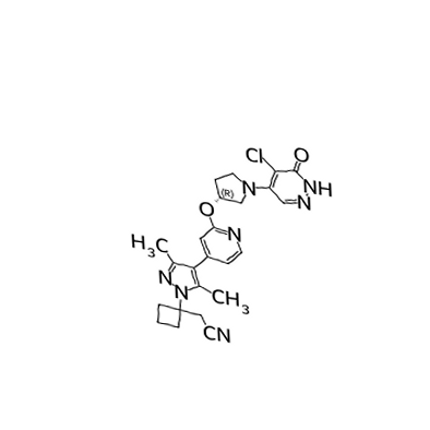 Cc1nn(C2(CC#N)CCC2)c(C)c1-c1ccnc(O[C@@H]2CCN(c3cn[nH]c(=O)c3Cl)C2)c1